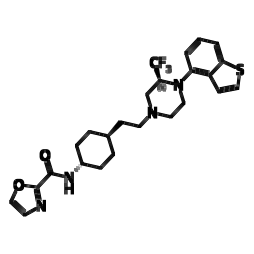 O=C(N[C@H]1CC[C@H](CCN2CCN(c3cccc4sccc34)[C@H](C(F)(F)F)C2)CC1)c1ncco1